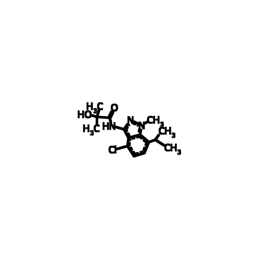 CC(C)c1ccc(Cl)c2c(NC(=O)C(C)(C)O)nn(C)c12